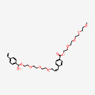 C=Cc1ccc(C(O)OCCOCCOCCOC/C=C\c2ccc(C(=O)OCCOCCOCCOCCOC)cc2)cc1